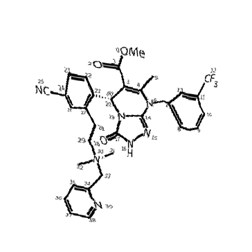 COC(=O)C1=C(C)N(c2cccc(C(F)(F)F)c2)c2n[nH]c(=O)n2[C@@H]1c1ccc(C#N)cc1CC[N+](C)(C)Cc1ccccn1